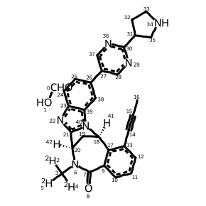 O=CO.[2H]C([2H])([2H])N1C(=O)c2cccc(C#CC)c2[C@H]2C[C@@H]1c1nc3ccc(-c4cnc(C5CCNC5)nc4)cc3n12